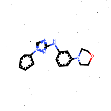 c1ccc(-n2cnc(Nc3cccc(N4CCOCC4)c3)n2)cc1